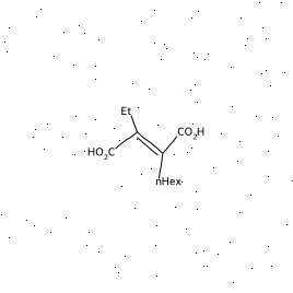 CCCCCCC(C(=O)O)=C(CC)C(=O)O